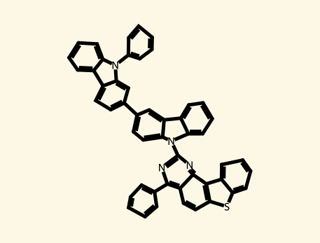 c1ccc(-c2nc(-n3c4ccccc4c4cc(-c5ccc6c7ccccc7n(-c7ccccc7)c6c5)ccc43)nc3c2ccc2sc4ccccc4c23)cc1